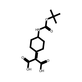 CC(C)(C)OC(=O)NC1CCC(=C(C(=O)O)C(=O)O)CC1